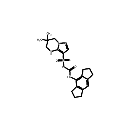 CC1(C)CNc2c(S(=O)(=O)NC(=O)Nc3c4c(cc5c3CCC5)CCC4)cnn2C1